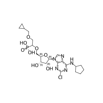 O=P(O)(O)C(COCC1CC1)OC[C@H]1O[C@@H](n2cnc3c(NC4CCCC4)nc(Cl)nc32)[C@H](O)[C@@H]1O